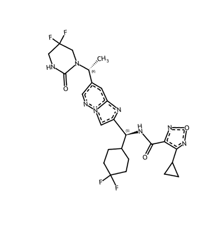 C[C@H](c1cnn2cc([C@@H](NC(=O)c3nonc3C3CC3)C3CCC(F)(F)CC3)nc2c1)N1CC(F)(F)CNC1=O